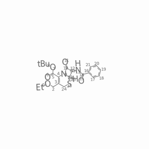 CCOCC1=C(C(=O)OC(C)(C)C)N2C(=O)[C@@H](NC(=O)c3ccccc3)[C@@H]2SC1